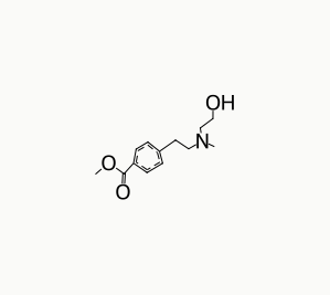 COC(=O)c1ccc(CCN(C)CCO)cc1